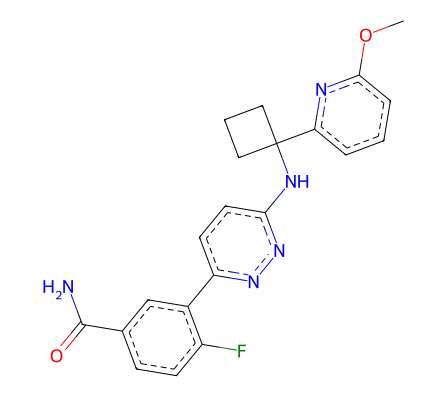 COc1cccc(C2(Nc3ccc(-c4cc(C(N)=O)ccc4F)nn3)CCC2)n1